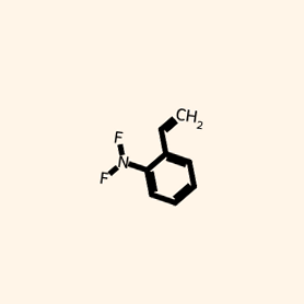 C=Cc1ccccc1N(F)F